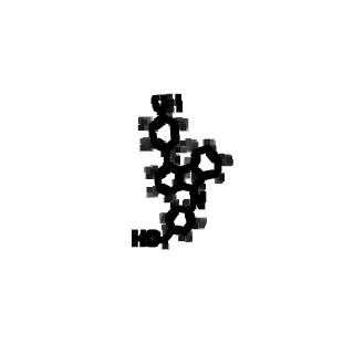 OCc1ccc(N=C2c3ccccc3-c3c2cccc3-c2ccc(O)cc2)cc1